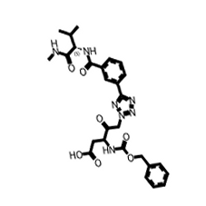 CNC(=O)[C@@H](NC(=O)c1cccc(-c2nnn(CC(=O)C(CC(=O)O)NC(=O)OCc3ccccc3)n2)c1)C(C)C